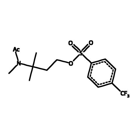 CC(=O)N(C)C(C)(C)CCOS(=O)(=O)c1ccc(C(F)(F)F)cc1